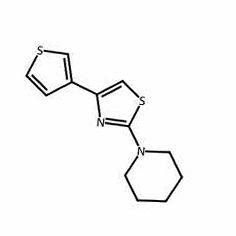 c1cc(-c2csc(N3CCCCC3)n2)cs1